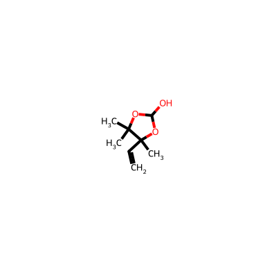 C=CC1(C)OC(O)OC1(C)C